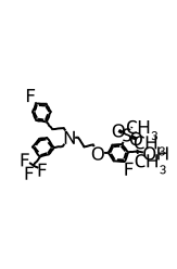 CC(C)(O)c1c(F)cc(OCCCN(CCc2ccc(F)cc2)Cc2cccc(C(F)(F)F)c2)cc1S(C)(=O)=O